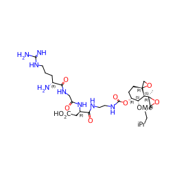 CO[C@@H]1[C@H](OC(=O)NCCNC(=O)[C@@H](CC(=O)O)NC(=O)CNC(=O)[C@H](N)CCCNC(=N)N)CC[C@]2(CO2)[C@H]1[C@@]1(C)O[C@@H]1CCC(C)C